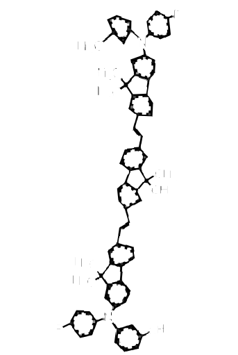 Cc1cccc(N(c2ccc(F)cc2)c2ccc3c(c2)C(C)(C)c2cc(/C=C/c4ccc5c(c4)C(C)(C)c4cc(/C=C/c6ccc7c(c6)C(C)(C)c6cc(N(c8ccc(F)cc8)c8cccc(C)c8)ccc6-7)ccc4-5)ccc2-3)c1